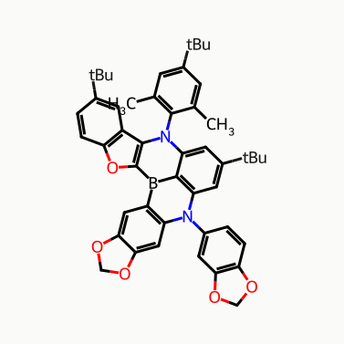 Cc1cc(C(C)(C)C)cc(C)c1N1c2cc(C(C)(C)C)cc3c2B(c2cc4c(cc2N3c2ccc3c(c2)OCO3)OCO4)c2oc3ccc(C(C)(C)C)cc3c21